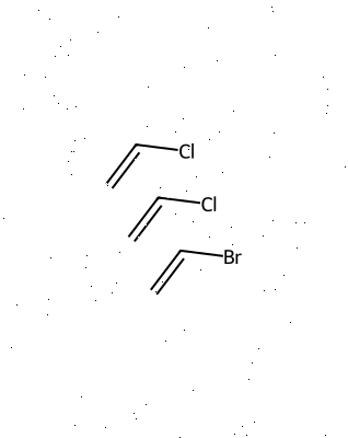 C=CBr.C=CCl.C=CCl